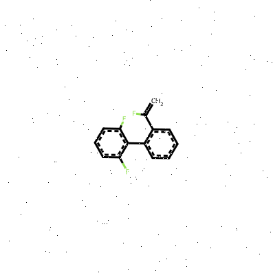 C=C(F)c1ccccc1-c1c(F)cccc1F